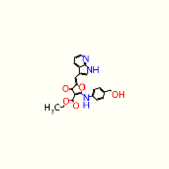 CCOC(=O)C1=C(Nc2ccc(CO)cc2)O/C(=C\c2c[nH]c3ncccc23)C1=O